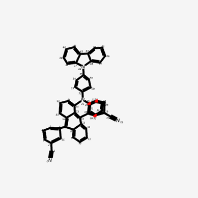 N#Cc1cccc(-c2c3ccccc3c(-c3cccc(C#N)c3)c3c(N(c4ccccc4)c4ccc(-n5c6ccccc6c6ccccc65)cc4)cccc23)c1